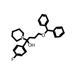 OC(CCCOC(c1ccccc1)c1ccccc1)(c1ccc(F)cc1)N1CCCCC1